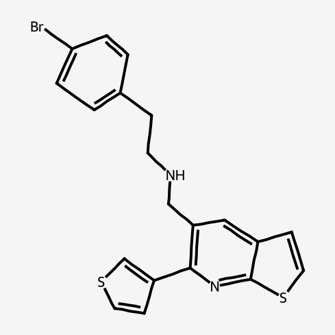 Brc1ccc(CCNCc2cc3ccsc3nc2-c2ccsc2)cc1